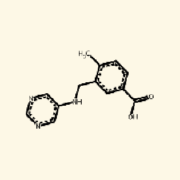 Cc1ccc(C(=O)O)cc1CNc1cncnc1